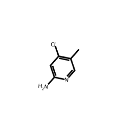 Cc1cnc(N)cc1Cl